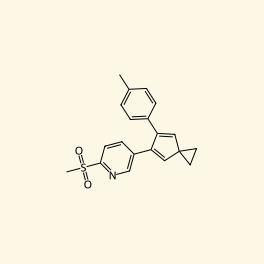 Cc1ccc(C2=CC3(C=C2c2ccc(S(C)(=O)=O)nc2)CC3)cc1